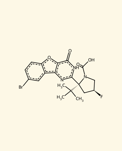 CC(C)(C)[C@@]1(c2nc3c(oc4ccc(Br)cc43)c(=O)[nH]2)C[C@H](F)CN1C(=O)O